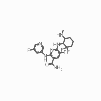 CNC1CCCC(F)(F)C1Nc1nc(Nc2cncc(F)c2)c(C(N)=O)cc1F